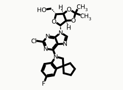 CC1(C)O[C@@H]2[C@H](O1)[C@@H](CO)O[C@H]2n1cnc2c(N3CC4(CCCC4)c4cc(F)ccc43)nc(Cl)nc21